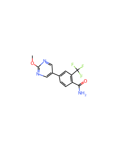 COc1ncc(-c2ccc(C(N)=O)c(C(F)(F)F)c2)cn1